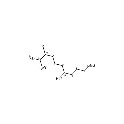 CCC(C)CCCC(CC)CCCC(C)C(CC)C(C)C